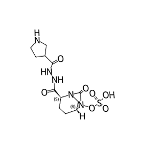 O=C(NNC(=O)[C@@H]1CC[C@@H]2CN1C(=O)N2OS(=O)(=O)O)C1CCNC1